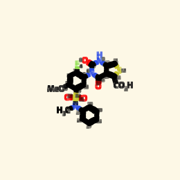 COc1cc(F)c(-n2c(=O)[nH]c3csc(C(=O)O)c3c2=O)cc1S(=O)(=O)N(C)c1ccccc1